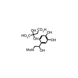 CNCC(O)c1ccc(O)c(O)c1.O=C(O)CC(O)(O)C(=O)O